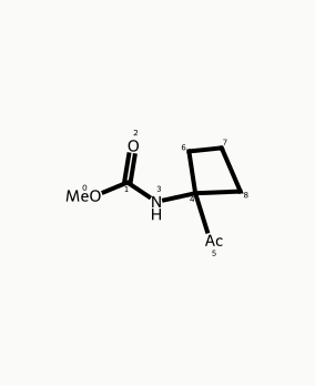 COC(=O)NC1(C(C)=O)CCC1